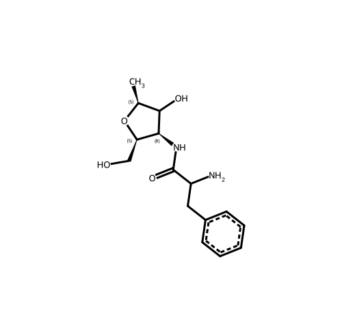 C[C@@H]1O[C@H](CO)[C@H](NC(=O)C(N)Cc2ccccc2)C1O